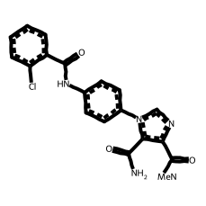 CNC(=O)c1ncn(-c2ccc(NC(=O)c3ccccc3Cl)cc2)c1C(N)=O